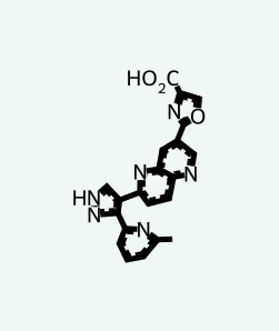 Cc1cccc(-c2n[nH]cc2-c2ccc3ncc(-c4nc(C(=O)O)co4)cc3n2)n1